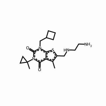 Cc1c(CNCCN)sc2c1c(=O)n(C1(C)CC1)c(=O)n2CC1CCC1